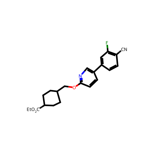 CCOC(=O)C1CCC(COc2ccc(-c3ccc(C#N)c(F)c3)cn2)CC1